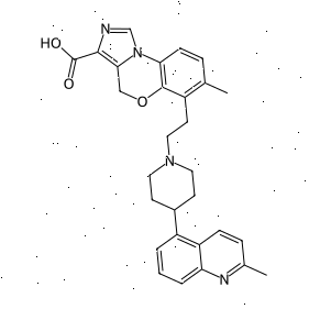 Cc1ccc2c(C3CCN(CCc4c(C)ccc5c4OCc4c(C(=O)O)ncn4-5)CC3)cccc2n1